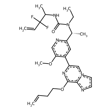 C=CCCOc1nc(-c2cc([C@@H](C)N(CC)C(=O)NC(C)C(F)(F)C=C)ncc2OC)cn2ccnc12